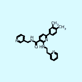 Cc1ccc(-c2ccc(C(=O)NCc3cccnc3)c(NCCc3ccccn3)n2)cc1C